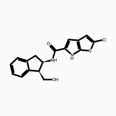 O=C(N[C@@H]1Cc2ccccc2[C@@H]1CO)c1cc2cc(Cl)sc2[nH]1